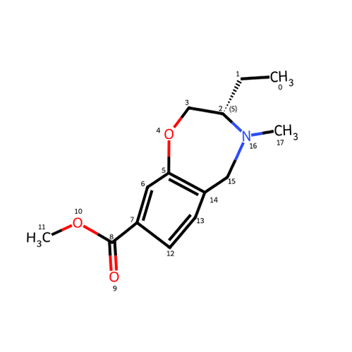 CC[C@H]1COc2cc(C(=O)OC)ccc2CN1C